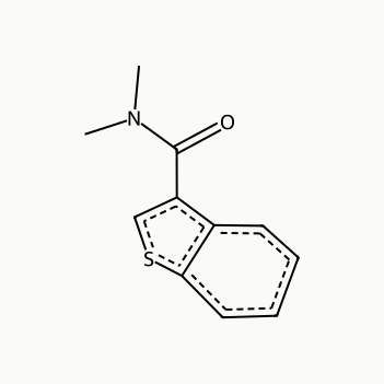 CN(C)C(=O)c1csc2ccccc12